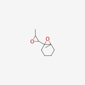 CC1OC1C12CCCCC1(C)O2